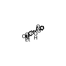 CCN1CC2(CCN(CC(O)C3COc4ccccc4O3)CC2)OC1=O